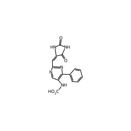 O=C(O)Nc1cnc(C=C2NC(=O)NC2=O)nc1-c1ccccc1